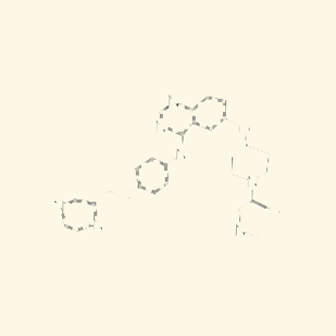 CN(C)CC(=O)N1CCC(Oc2ccc3ncnc(Nc4ccc(OCc5cnccn5)cc4)c3c2)CC1